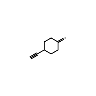 C#CC1CCC(=O)CC1